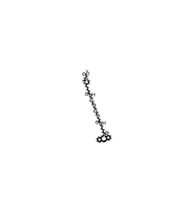 COC(=O)CCC1(C)SCCC(CCCCC(=O)NCCOCCOCCOCCOCCC(=O)NCCCCCC(=O)N2Cc3ccccc3C#Cc3ccccc32)S1